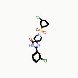 O=C1NC(c2cccc(Cl)c2)=NC12CCN(S(=O)(=O)c1cccc(Cl)c1)CC2